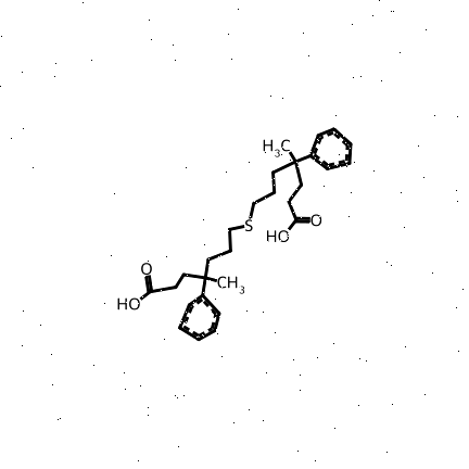 CC(CCCSCCCC(C)(CCC(=O)O)c1ccccc1)(CCC(=O)O)c1ccccc1